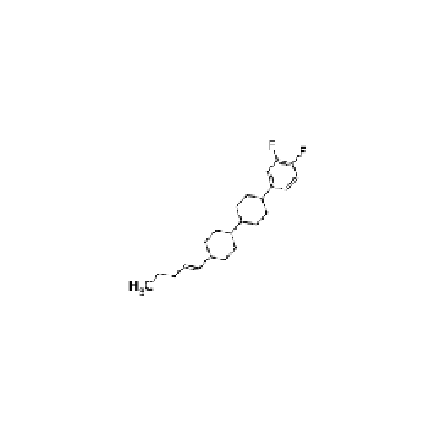 CCC/C=C/C1CCC(C2CCC(c3ccc(F)c(F)c3)CC2)CC1